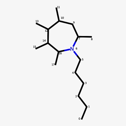 CCCCCCN1C(C)CC(C)C(C)C(C)C1C